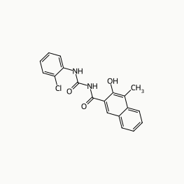 Cc1c(O)c(C(=O)NC(=O)Nc2ccccc2Cl)cc2ccccc12